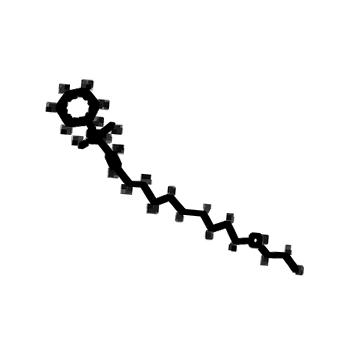 CCCOCCCCCCCCCC#C[Si](C)(C)c1ccccc1